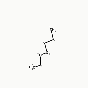 CCCSOCC